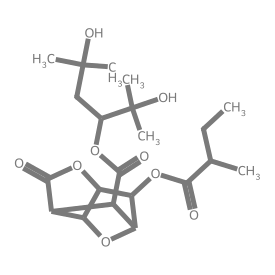 CCC(C)C(=O)OC1C2OC(=O)C3C2OC1C3C(=O)OC(CC(C)(C)O)C(C)(C)O